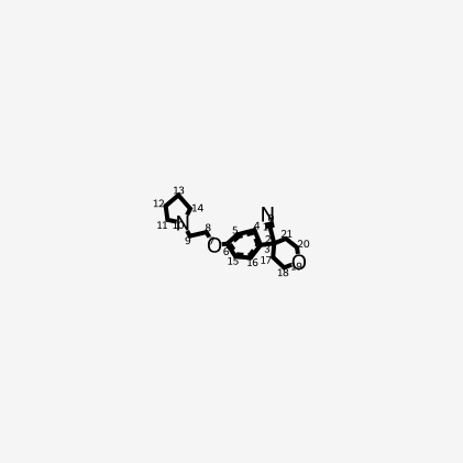 N#CC1(c2ccc(OCCN3CCCC3)cc2)CCOCC1